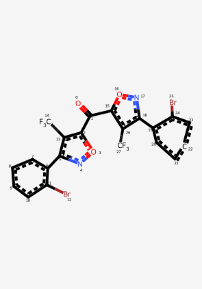 O=C(c1onc(-c2ccccc2Br)c1C(F)(F)F)c1onc(-c2ccccc2Br)c1C(F)(F)F